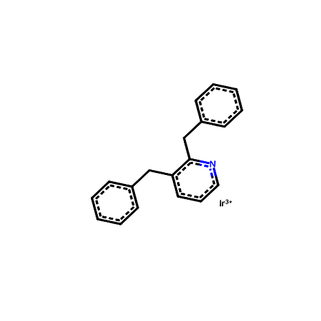 [Ir+3].c1ccc(Cc2cccnc2Cc2ccccc2)cc1